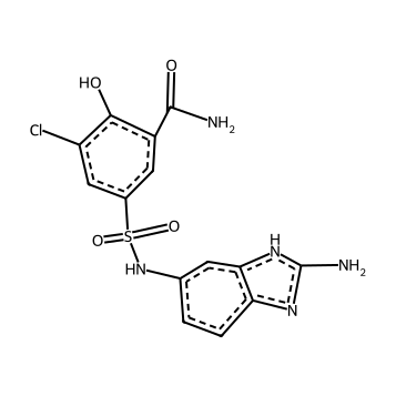 NC(=O)c1cc(S(=O)(=O)Nc2ccc3nc(N)[nH]c3c2)cc(Cl)c1O